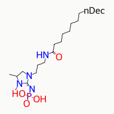 CCCCCCCCCCCCCCCCCC(=O)NCCCN1CC(C)N(C)C1=NP(=O)(O)O